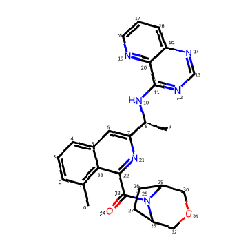 Cc1cccc2cc([C@H](C)Nc3ncnc4cccnc34)nc(C(=O)N3C4CCC3COC4)c12